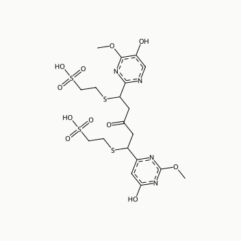 COc1nc(O)cc(C(CC(=O)CC(SCCS(=O)(=O)O)c2ncc(O)c(OC)n2)SCCS(=O)(=O)O)n1